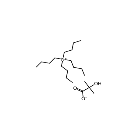 CC(C)(O)C(=O)[O-].CCCC[N+](CCCC)(CCCC)CCCC